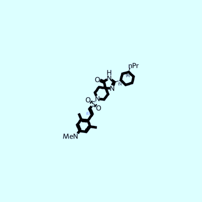 CCC[C@@H]1CCC[C@H](C2=NC3(CCN(S(=O)(=O)/C=C/c4c(C)cc(NC)cc4C)CC3)C(=O)N2)C1